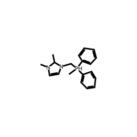 CC1N(C)C=CN1C[PH](C)(c1ccccc1)c1ccccc1